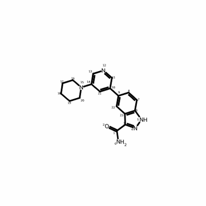 NC(=O)c1n[nH]c2ccc(-c3cncc(N4CCCCC4)c3)cc12